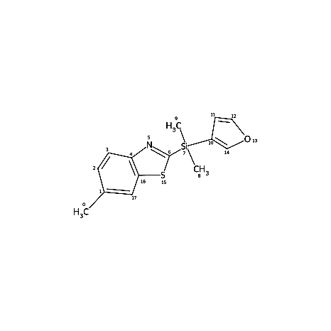 Cc1ccc2nc([Si](C)(C)c3ccoc3)sc2c1